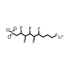 O=S(=O)([O-])CC(F)C(F)C(F)C(F)C(F)CCCF.[Li+]